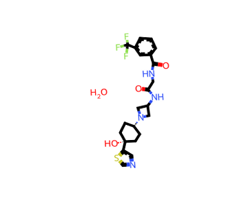 O.O=C(CNC(=O)c1cccc(C(F)(F)F)c1)NC1CN([C@H]2CC[C@](O)(c3cncs3)CC2)C1